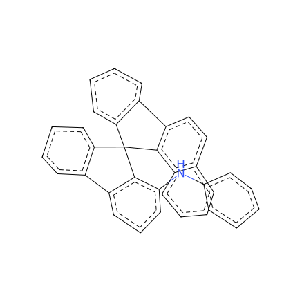 c1ccc(Nc2cccc3c2C2(c4ccccc4-3)c3ccccc3-c3ccc4ccccc4c32)cc1